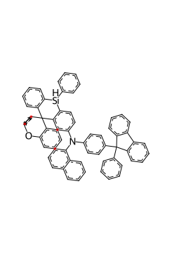 c1ccc([SiH]2c3ccccc3C3(c4ccccc4Oc4ccccc43)c3cc(N(c4ccc(C5(c6ccccc6)c6ccccc6-c6ccccc65)cc4)c4cccc5ccccc45)ccc32)cc1